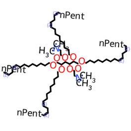 CCCCC/C=C\C/C=C\CCCCCCCCOCC(OCCCCCCCC/C=C\C/C=C\CCCCC)C(OC(=O)CN(C)C)C(OC(=O)CN(C)C)C(COCCCCCCCC/C=C\C/C=C\CCCCC)OCCCCCCCC/C=C\C/C=C\CCCCC